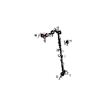 Cc1ccc2c(c1)NC[C@]21CCN(CC(O)C2CCN(C(=O)c3cc4c(OCCOCCOCCOCCNC(=O)CCC(=O)NCCOCCOCCOCCNc5ccc([N+](=O)[O-])cc5[N+](=O)[O-])cccc4[nH]3)CC2)C[C@H]1C.O=C(O)C(F)(F)F